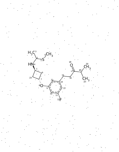 CSC(C)N[C@H]1C[C@H](Oc2cc(F)cc(CCC(=O)C(C)C)c2)C1